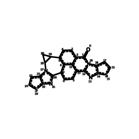 O=c1c2ccc3c4c(ccc(c42)c2nc4sccc4n12)-c1nc2sccc2n1C1CC31